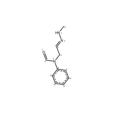 CNN=CCN(C=O)c1ccccc1